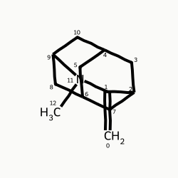 C=C1C2CC3CC(C2)CC(C3)N1C